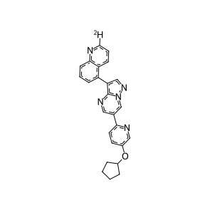 [2H]c1ccc2c(-c3cnn4cc(-c5ccc(OC6CCCC6)cn5)cnc34)cccc2n1